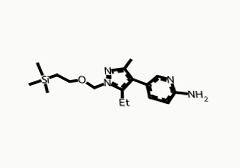 CCc1c(-c2ccc(N)nc2)c(C)nn1COCC[Si](C)(C)C